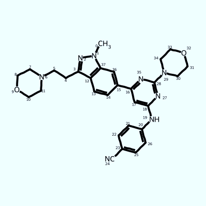 Cn1nc(CCN2CCOCC2)c2ccc(-c3cc(Nc4ccc(C#N)cc4)nc(N4CCOCC4)n3)cc21